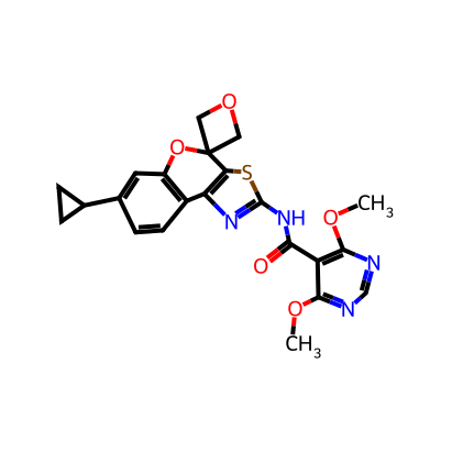 COc1ncnc(OC)c1C(=O)Nc1nc2c(s1)C1(COC1)Oc1cc(C3CC3)ccc1-2